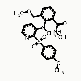 COCc1cccc(C(=O)NO)c1N(C)c1cccnc1S(=O)(=O)c1ccc(OC)cc1